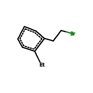 [CH2]Cc1ccccc1CCBr